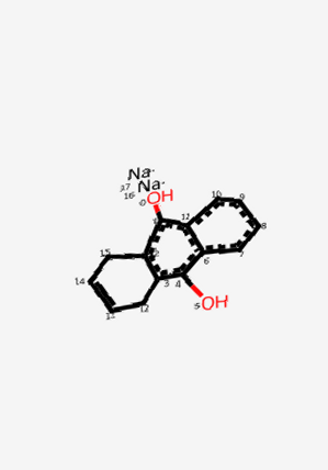 Oc1c2c(c(O)c3ccccc13)CC=CC2.[Na].[Na]